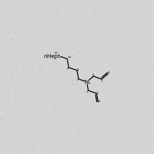 C=CCN(CC=C)CCCCCCCCCCC